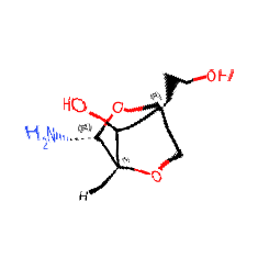 N[C@@H]1O[C@]2(CO)CO[C@H]1C2O